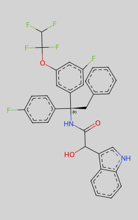 O=C(N[C@](Cc1ccccc1)(c1ccc(F)cc1)c1cc(F)cc(OC(F)(F)C(F)F)c1)C(O)c1c[nH]c2ccccc12